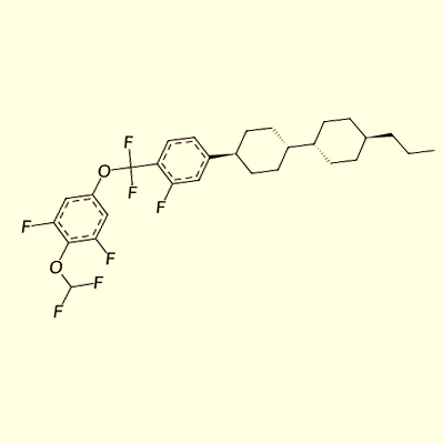 CCC[C@H]1CC[C@H]([C@H]2CC[C@H](c3ccc(C(F)(F)Oc4cc(F)c(OC(F)F)c(F)c4)c(F)c3)CC2)CC1